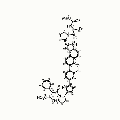 COC(=O)N[C@H](C(=O)N1CCC[C@H]1c1nc2c(ccc3c4c(ccc32)-c2ccc(-c3cnc([C@H]5CCCN5C(=O)[C@@H](c5ccccc5)N(C)C(=O)O)[nH]3)cc2CO4)[nH]1)C(C)C